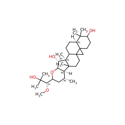 CO[C@@H](C1C[C@@H](C)[C@H]2C(O1)[C@H](O)[C@@]1(C)C3CC[C@H]4C(C)(C)C(O)CCC45CC35CCC21C)C(C)(C)O